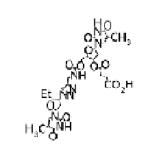 CC[C@H]1O[C@@H](n2cc(C)c(=O)[nH]c2=O)CC1n1cc(CNC(=O)OC[C@H]2O[C@@H](n3cc(C)c(=O)[nH]c3=O)CC2OC(=O)CCC(=O)O)nn1